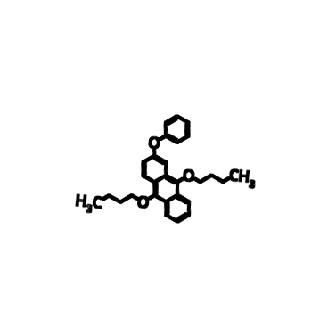 CCCCOc1c2ccccc2c(OCCCC)c2cc(Oc3ccccc3)ccc12